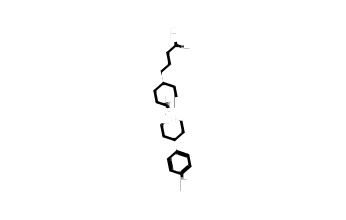 Fc1ccc([C@H]2CC[Si@H]([C@H]3CC[C@H](CCCC(F)F)CC3)CC2)cc1